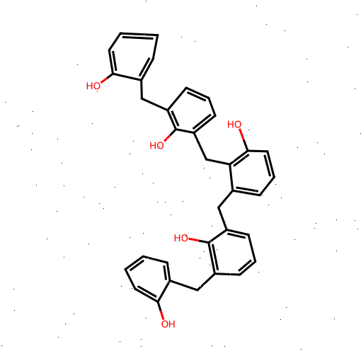 Oc1ccccc1Cc1cccc(Cc2cccc(O)c2Cc2cccc(Cc3ccccc3O)c2O)c1O